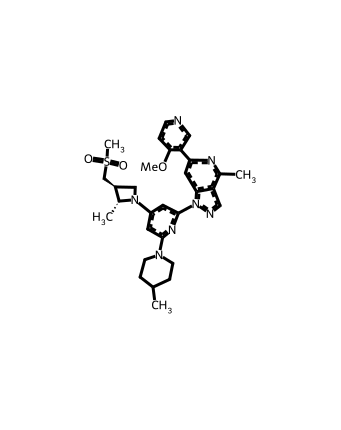 COc1ccncc1-c1cc2c(cnn2-c2cc(N3C[C@H](CS(C)(=O)=O)[C@H]3C)cc(N3CCC(C)CC3)n2)c(C)n1